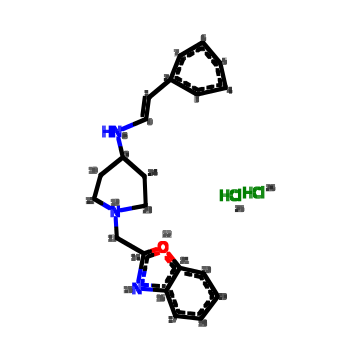 C(=Cc1ccccc1)NC1CCN(Cc2nc3ccccc3o2)CC1.Cl.Cl